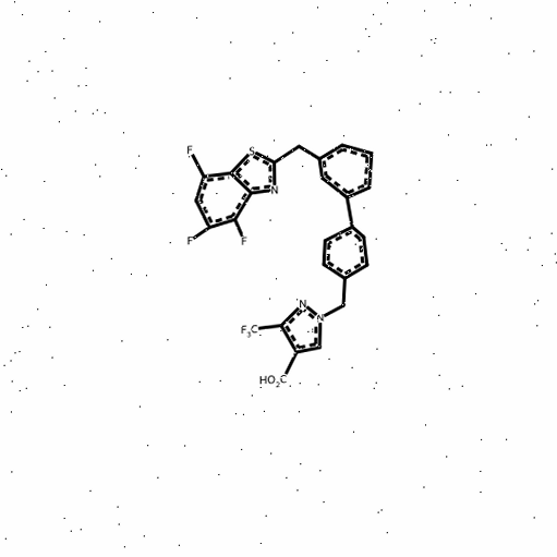 O=C(O)c1cn(Cc2ccc(-c3cccc(Cc4nc5c(F)c(F)cc(F)c5s4)c3)cc2)nc1C(F)(F)F